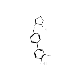 Oc1ccc(-c2ccc(OC3CCCC3O)cc2)cc1F